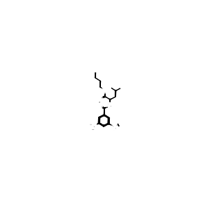 CCCCOC(=O)C(CC(C)C)NC(=O)c1cc([N+](=O)[O-])cc([N+](=O)[O-])c1